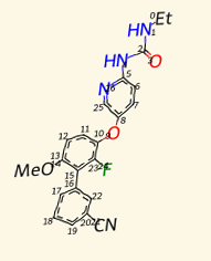 CCNC(=O)Nc1ccc(Oc2ccc(OC)c(-c3cccc(C#N)c3)c2F)cn1